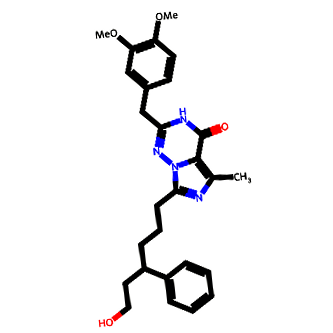 COc1ccc(Cc2nn3c(CCCC(CCO)c4ccccc4)nc(C)c3c(=O)[nH]2)cc1OC